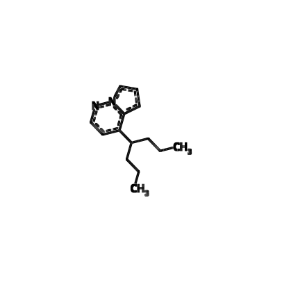 CCCC(CCC)c1ccnn2cccc12